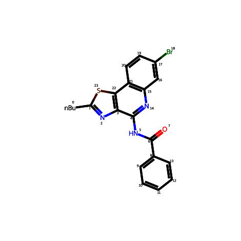 CCCCc1nc2c(NC(=O)c3ccccc3)nc3cc(Br)ccc3c2s1